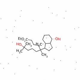 CCOC(=O)CCCC(C)(CCCC(C)(C)O)C1CCC2[C@@H](O)CCC[C@@]21C